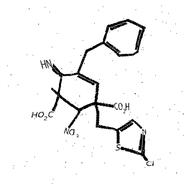 CC1(C(=O)O)C(=N)C(Cc2ccccc2)=CC(Cc2cnc(Cl)s2)(C(=O)O)C1[N+](=O)[O-]